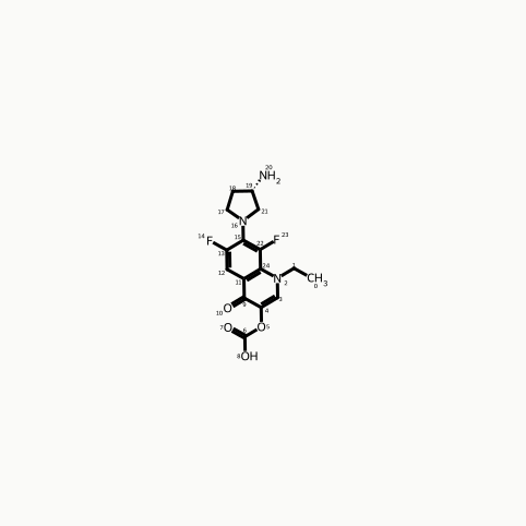 CCn1cc(OC(=O)O)c(=O)c2cc(F)c(N3CC[C@H](N)C3)c(F)c21